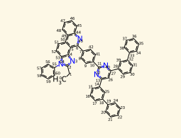 CCc1nc2c3c(-c4ccc(-c5nc(-c6cccc(-c7ccccc7)c6)cc(-c6cccc(-c7ccccc7)c6)n5)cc4)nc4ccccc4c3ccc2n1-c1ccccc1